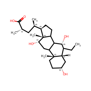 CCC1[C@@H](O)C2C3CC[C@H]([C@H](C)C[C@H](C)C(=O)O)[C@@]3(C)[C@@H](O)CC2[C@@]2(C)CC[C@@H](O)C[C@@H]12